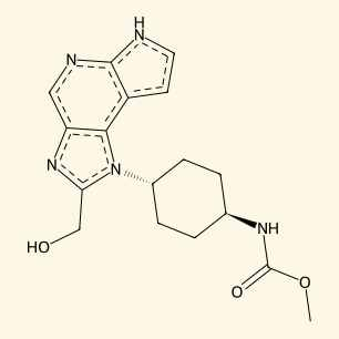 COC(=O)N[C@H]1CC[C@H](n2c(CO)nc3cnc4[nH]ccc4c32)CC1